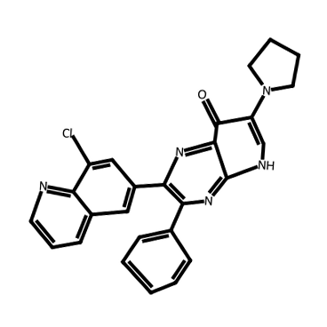 O=c1c(N2CCCC2)c[nH]c2nc(-c3ccccc3)c(-c3cc(Cl)c4ncccc4c3)nc12